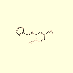 Cc1ccc(O)c(/N=N/c2nccs2)c1